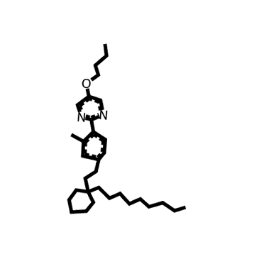 CCCCCCCCCC1(CCc2ccc(-c3ncc(OCCCC)cn3)c(C)c2)CCCCC1